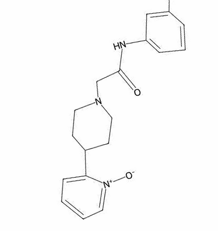 O=C(CN1CCC(c2cccc[n+]2[O-])CC1)Nc1cccc(F)c1